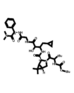 CN(C)C(=O)[C@@H](NC(=O)CNC(=O)C(O)C(CC1CC1)NC(=O)[C@@H]1C2[C@H](CN1C(=O)C(NC(=O)OC(C)(C)C)C(C)(C)C)C2(C)C)c1ccccc1